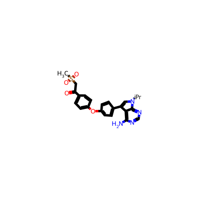 CC(C)n1cc(-c2ccc(Oc3ccc(C(=O)CS(C)(=O)=O)cc3)cc2)c2c(N)ncnc21